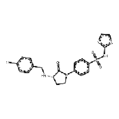 O=C1[C@@H](NCc2ccc(Cl)cc2)CCN1c1ccc(S(=O)(=O)Nc2nccs2)cc1